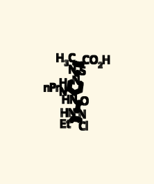 CCCN[C@H]1CN(c2nc(C)c(C(=O)O)s2)CCC1NC(=O)c1nc(Cl)c(CC)[nH]1